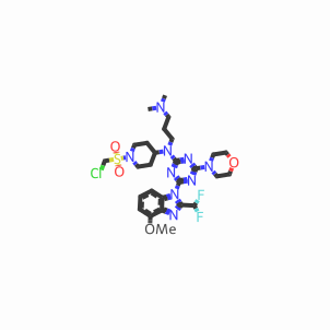 COc1cccc2c1nc(C(F)F)n2-c1nc(N2CCOCC2)nc(N(CCCN(C)C)C2CCN(S(=O)(=O)CCl)CC2)n1